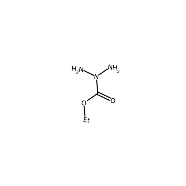 [CH2]COC(=O)N(N)N